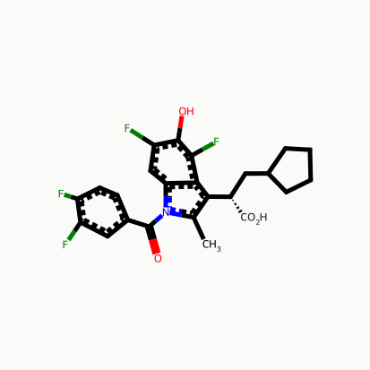 Cc1c([C@H](CC2CCCC2)C(=O)O)c2c(F)c(O)c(F)cc2n1C(=O)c1ccc(F)c(F)c1